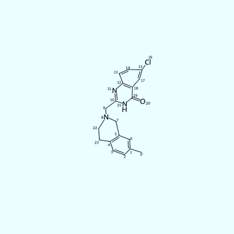 Cc1ccc2c(c1)CN(Cc1nc3ccc(Cl)cc3c(=O)[nH]1)CC2